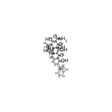 C[C@H]1c2ccc(C3C4CC5CC(C4)CC3C5)c(O)c2C(=O)C2=C(O)[C@]3(O)C(=O)C(C(N)=O)=C(O)[C@@H](N(C)C)[C@@H]3[C@@H](O)[C@@H]21